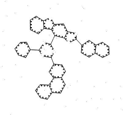 c1ccc(-c2nc(-c3ccc4ccc5ccccc5c4c3)nc(-c3c4sc(-c5ccc6ccccc6c5)nc4cc4oc5ccccc5c34)n2)cc1